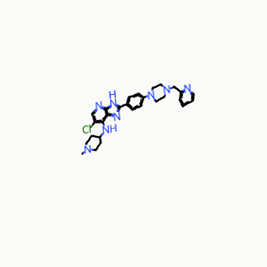 CN1CCC(Nc2c(Cl)cnc3[nH]c(-c4ccc(N5CCN(Cc6ccccn6)CC5)cc4)nc23)CC1